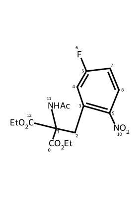 CCOC(=O)C(Cc1cc(F)ccc1[N+](=O)[O-])(NC(C)=O)C(=O)OCC